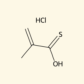 C=C(C)C(O)=S.Cl